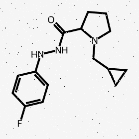 O=C(NNc1ccc(F)cc1)C1CCCN1CC1CC1